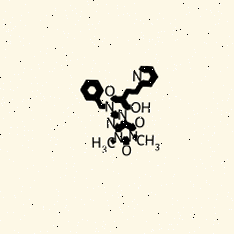 Cn1c(=O)c2c(nc3n(Cc4ccccc4)c(=O)c(CCc4ccccn4)c(O)n23)n(C)c1=O